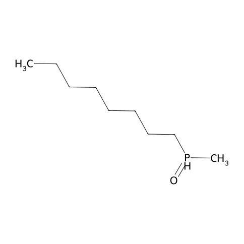 CCCCCCCC[PH](C)=O